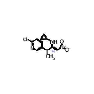 CC(/C(=C/[N+](=O)[O-])NC1CC1)c1ccc(Cl)nc1